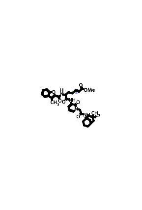 COC(=O)/C=C/CCC(NC(=O)c1oc2ccccc2c1C)C(=O)Nc1cccn(CC(=O)NC23CCCC(CC(C)(F)C2)C3)c1=O